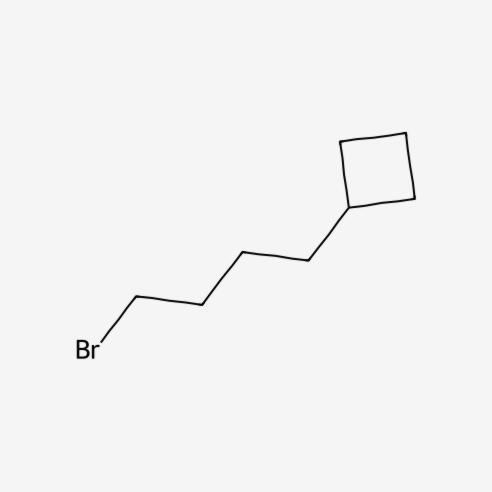 BrCCCCC1CCC1